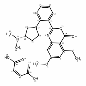 CCc1cc(OC)cc2nc(-c3cccnc3N3CC[C@H](N(C)C)C3)oc(=O)c12.O=C(O)/C=C\C(=O)O